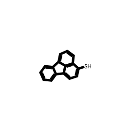 Sc1ccc2c3c(cccc13)-c1ccccc1-2